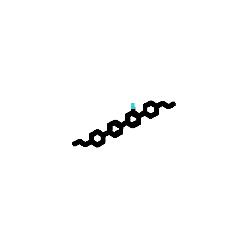 CCCC1CCC(c2ccc(-c3ccc(C4CCC(CCC)CC4)c(F)c3)cc2)CC1